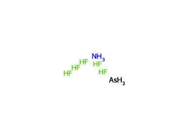 F.F.F.F.F.N.[AsH3]